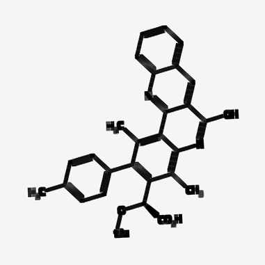 Cc1ccc(-c2c([C@H](OC(C)(C)C)C(=O)O)c(C)c3nc(O)c4cc5ccccc5nc4c3c2C)cc1